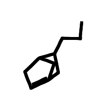 CCCC1CC2=CCC1C2